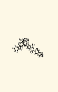 CC1C(C)(c2nc(NC(=O)c3ccc(OC(F)F)cn3)cs2)N=C(NC(=O)c2ccccc2)N(C)S1(O)O